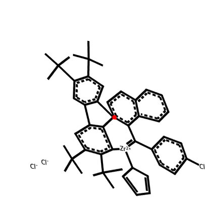 CC(C)(C)c1cc2c(cc1C(C)(C)C)-c1cc(C(C)(C)C)c(C(C)(C)C)[c]([Zr+2](=[C](c3ccc(Cl)cc3)c3cccc4ccccc34)[CH]3C=CC=C3)c1C2.[Cl-].[Cl-]